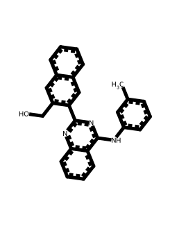 Cc1cccc(Nc2nc(-c3cc4ccccc4cc3CO)nc3ccccc23)c1